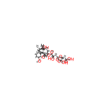 COc1ccc2c3c1O[C@H]1C(OC(=O)[C@@H](O)CC(=O)O[C@H](CC(=O)O)C(=O)O)=CC[C@@]4(O)[C@@H](C2)C(C)CC[C@]314